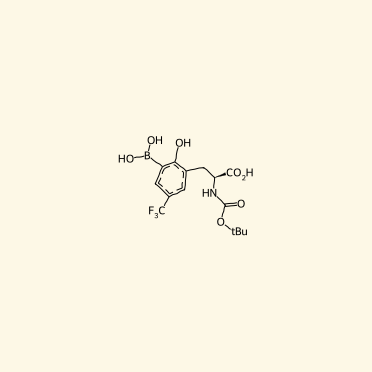 CC(C)(C)OC(=O)N[C@@H](Cc1cc(C(F)(F)F)cc(B(O)O)c1O)C(=O)O